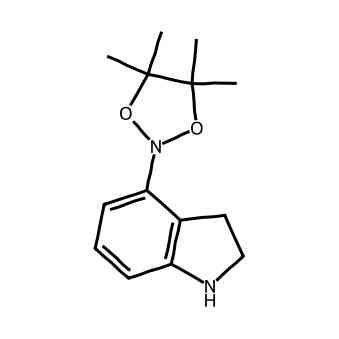 CC1(C)ON(c2cccc3c2CCN3)OC1(C)C